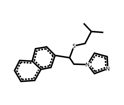 CC(C)CSC(Cn1ccnc1)c1ccc2ccccc2c1